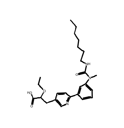 CCCCCCCNC(=O)N(C)c1cccc(-c2ccc(CC(OCC)C(=O)O)cn2)c1